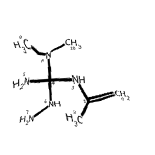 C=C(C)NC(N)(NN)N(C)C